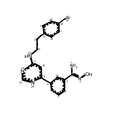 N/C(=N\O)c1cccc(-c2cc(NCCc3ccc(Br)cc3)ncn2)c1